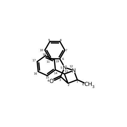 CC1C2C(=O)N(c3ccccc3)N1C2c1ccccc1